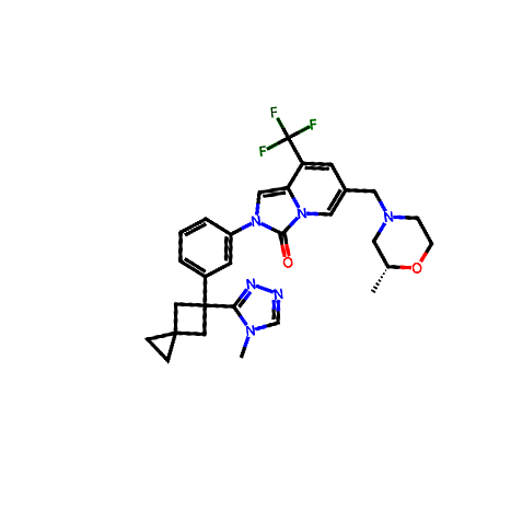 C[C@@H]1CN(Cc2cc(C(F)(F)F)c3cn(-c4cccc(C5(c6nncn6C)CC6(CC6)C5)c4)c(=O)n3c2)CCO1